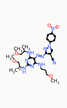 COCCCNc1nc(N[C@@H](C)COC)nc(NC(C)COC)c1N=Nc1nn(-c2ccc([N+](=O)[O-])cc2)cc1C#N